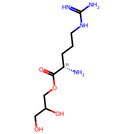 N=C(N)NCCC[C@H](N)C(=O)OCC(O)CO